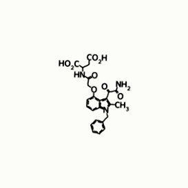 Cc1c(C(=O)C(N)=O)c2c(OCC(=O)NC(CC(=O)O)C(=O)O)cccc2n1Cc1ccccc1